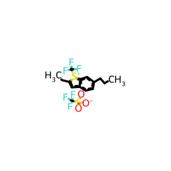 CCCc1ccc2cc(CC)[s+](C(F)(F)F)c2c1.O=S(=O)([O-])C(F)(F)F